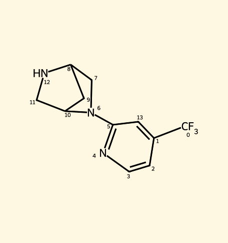 FC(F)(F)c1ccnc(N2CC3CC2CN3)c1